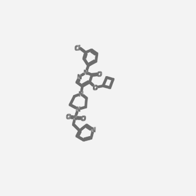 O=c1c(OC2CCC2)c(N2CCN(S(=O)(=O)Cc3cccnc3)CC2)cnn1-c1cccc(Cl)c1